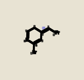 CC(C)/C=C1\C=C(Br)N=CC1